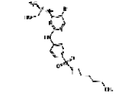 CCCCCCNS(=O)(=O)c1ccc(Nc2ncc(Br)c(N[C@H](C)CO)n2)cc1